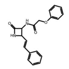 O=C(COc1ccccc1)NC1C(=O)NC1C=Cc1ccccc1